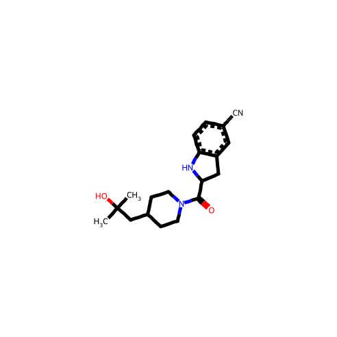 CC(C)(O)CC1CCN(C(=O)C2Cc3cc(C#N)ccc3N2)CC1